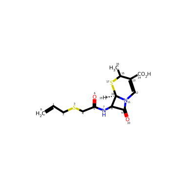 C=CCSCC(=O)NC1C(=O)N2C=C(C(=O)O)C(C)S[C@H]12